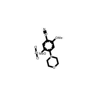 COc1cc(N2CCOCC2)c(OC)cc1[N+]#N.[Cl][Zn][Cl]